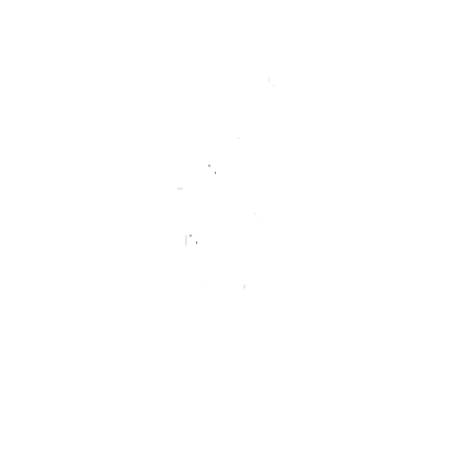 O=C(NC1=NC2(c3ccccc3F)COCC2CS1)c1ccccc1